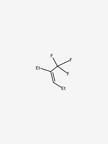 CCC=C(CC)C(F)(F)F